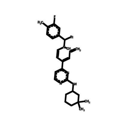 C=C/C=C(\C=C/N(C)C(CC)c1ccc(C)c(F)c1)c1ccnc(NC2CCCC(C)(C)C2)n1